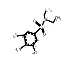 CCN(CC)S(=O)(=O)c1cc(Cl)c(N)c(Br)c1